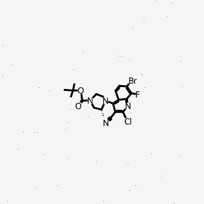 C[C@@H]1CN(C(=O)OC(C)(C)C)CCN1c1c(C#N)c(Cl)nc2c(F)c(Br)ccc12